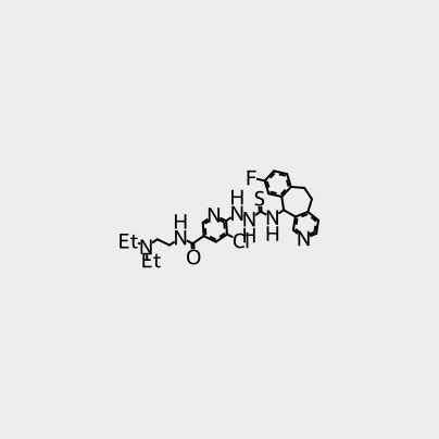 CCN(CC)CCNC(=O)c1cnc(NNC(=S)NC2c3cnccc3CCc3ccc(F)cc32)c(Cl)c1